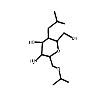 CC(C)CC1C(CO)OC(COC(C)C)C(N)C1O